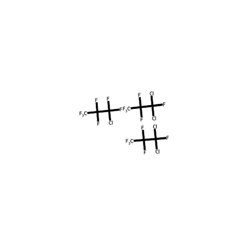 FC(F)(F)C(F)(F)C(F)(Cl)Cl.FC(F)(F)C(F)(F)C(F)(Cl)Cl.FC(F)(F)C(F)(F)C(F)(F)Cl